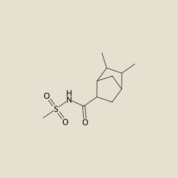 CC1C2CC(C(=O)NS(C)(=O)=O)C(C2)C1C